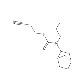 CCCN(C(=S)SCCC#N)C1CC2CCC1C2